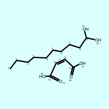 CCCCCCCCCC(O)O.O=C(O)/C=C\C(=O)O